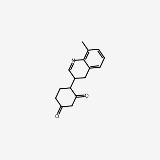 Cc1cccc2c1N=CC(C1CCC(=O)CC1=O)C2